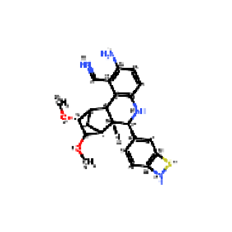 COC1C2CC(C3c4c(ccc(N)c4C=N)N[C@@H](c4ccc5[nH]sc5c4)[C@H]23)[C@H]1OC